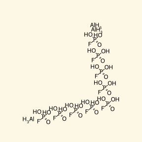 O=P(O)(O)F.O=P(O)(O)F.O=P(O)(O)F.O=P(O)(O)F.O=P(O)(O)F.O=P(O)(O)F.O=P(O)(O)F.O=P(O)(O)F.O=P(O)(O)F.[AlH3].[AlH3].[AlH3]